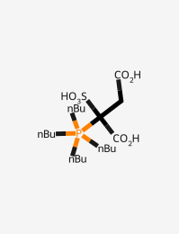 CCCCP(CCCC)(CCCC)(CCCC)C(CC(=O)O)(C(=O)O)S(=O)(=O)O